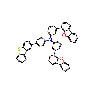 c1cc(-c2cccc3c2oc2ccccc23)cc(N(c2ccc(-c3ccc4sc5ccccc5c4c3)cc2)c2cccc(-c3cccc4c3oc3ccccc34)c2)c1